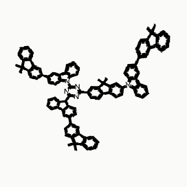 CC1(C)c2ccccc2-c2cc(-c3ccc4c(c3)-c3ccccc3C4c3nc(-c4ccc5c(c4)C(C)(C)c4cc(-n6c7ccccc7c7cc(-c8ccc9c(c8)-c8ccccc8C9(C)C)ccc76)ccc4-5)nc(-n4c5ccccc5c5cc(-c6ccc7c(c6)-c6ccccc6C7(C)C)ccc54)n3)ccc21